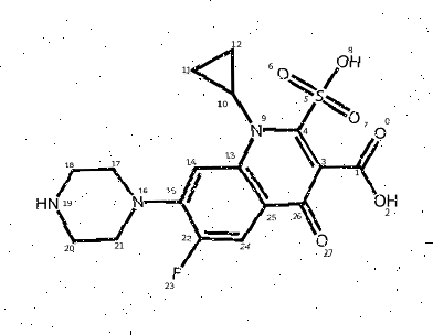 O=C(O)c1c(S(=O)(=O)O)n(C2CC2)c2cc(N3CCNCC3)c(F)cc2c1=O